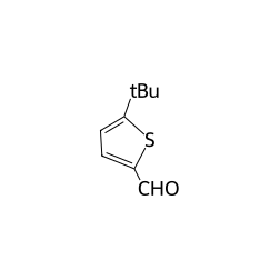 CC(C)(C)c1ccc(C=O)s1